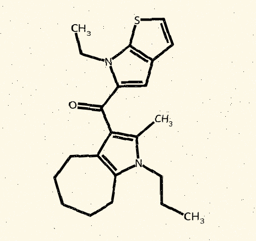 CCCn1c(C)c(C(=O)c2cc3ccsc3n2CC)c2c1CCCCC2